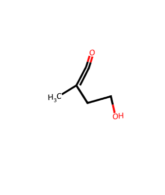 CC(=C=O)CCO